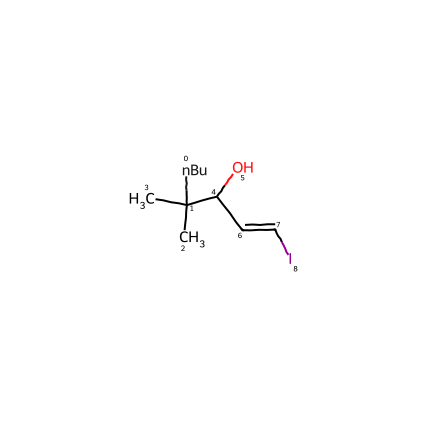 CCCCC(C)(C)C(O)C=CI